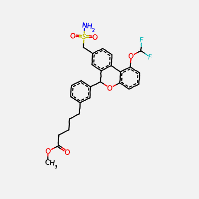 COC(=O)CCCCc1cccc(C2Oc3cccc(OC(F)F)c3-c3ccc(CS(N)(=O)=O)cc32)c1